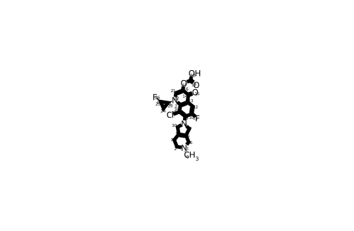 CN1CCC2=C(C1)CN(c1c(F)cc3c(=O)c(OC(=O)O)cn([C@@H]4C[C@@H]4F)c3c1Cl)C2